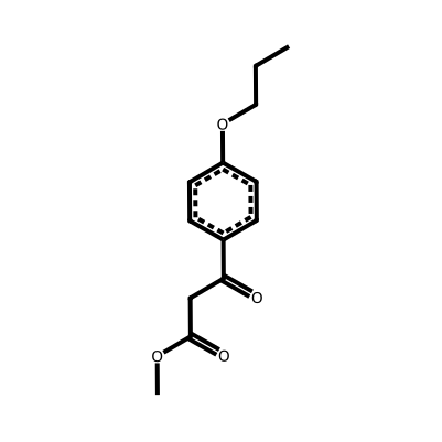 CCCOc1ccc(C(=O)CC(=O)OC)cc1